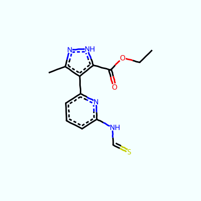 CCOC(=O)c1[nH]nc(C)c1-c1cccc(NC=S)n1